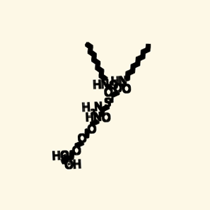 C=P(O)(O)CCOCCOCCOCCNC(=O)[C@@H](N)CSC[C@@H](COC(=O)NCCCCCCCCCC)OC(=O)NCCCCCCCCCC